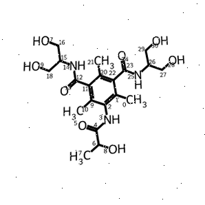 Cc1c(NC(=O)C(C)O)c(C)c(C(=O)NC(CO)CO)c(C)c1C(=O)NC(CO)CO